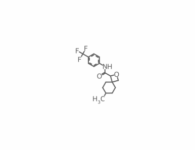 CC1CCC2(CC1)COC2C(=O)Nc1ccc(C(F)(F)F)cc1